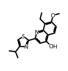 CCc1c(OC)ccc2c(O)cc(-c3nc(C(C)C)cs3)nc12